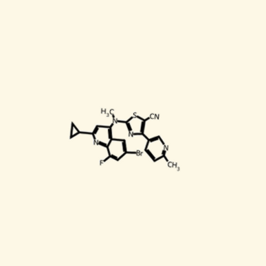 Cc1ccc(-c2nc(N(C)c3cc(C4CC4)nc4c(F)cc(Br)cc34)sc2C#N)cn1